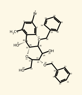 Cc1cc(Br)ccc1[C@@H](O)[C@H]1OC(CO)[C@@H](OCc2ccccc2)C(O)C1OCc1ccccc1